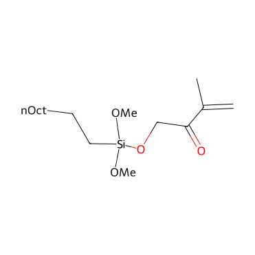 C=C(C)C(=O)CO[Si](CCCCCCCCCC)(OC)OC